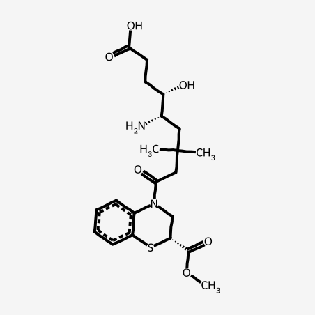 COC(=O)[C@H]1CN(C(=O)CC(C)(C)C[C@H](N)[C@@H](O)CCC(=O)O)c2ccccc2S1